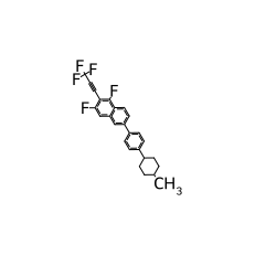 CC1CCC(c2ccc(-c3ccc4c(F)c(C#CC(F)(F)F)c(F)cc4c3)cc2)CC1